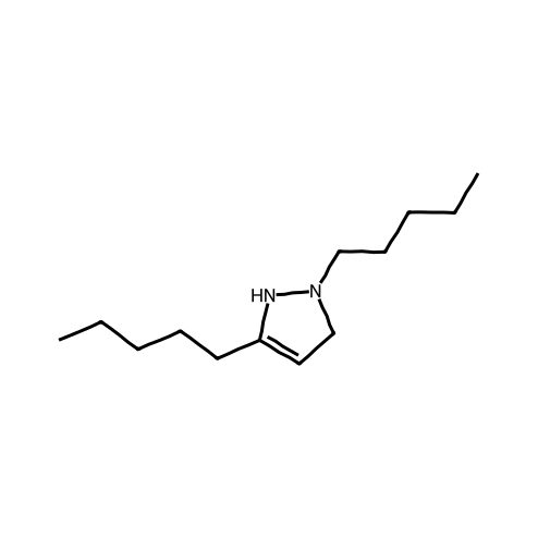 CCCCCC1=CCN(CCCCC)N1